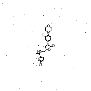 C=C(NC[C@H]1CN(c2ccc(N3CCOCC3)c(F)c2)C(=O)O1)c1ccc(Cl)s1